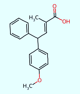 COc1ccc(C(/C=C(\C)C(=O)O)c2ccccc2)cc1